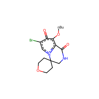 CCCCOc1c2n(cc(Br)c1=O)C1(CCOCC1)CNC2=O